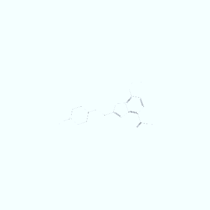 COc1ccc(C(=O)O)c2cc(COC3CCN(C)CC3)oc12